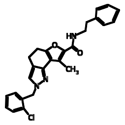 Cc1c(C(=O)NCCc2ccccc2)oc2c1-c1nn(Cc3ccccc3Cl)cc1CC2